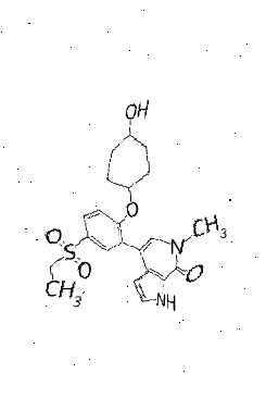 CCS(=O)(=O)c1ccc(OC2CCC(O)CC2)c(-c2cn(C)c(=O)c3[nH]ccc23)c1